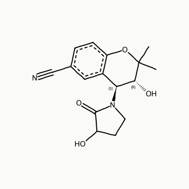 CC1(C)Oc2ccc(C#N)cc2[C@H](N2CCC(O)C2=O)[C@H]1O